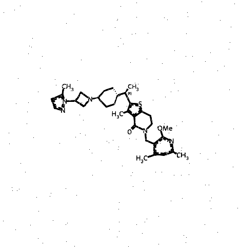 COc1nc(C)cc(C)c1CN1CCc2sc([C@H](C)[C@H]3CC[C@H](N4CC(n5nccc5C)C4)CC3)c(C)c2C1=O